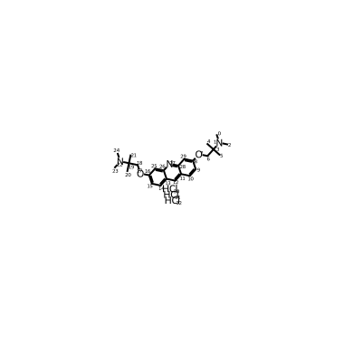 CN(C)C(C)(C)COc1ccc2cc3ccc(OCC(C)(C)N(C)C)cc3nc2c1.Cl.Cl.Cl